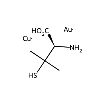 CC(C)(S)[C@H](N)C(=O)O.[Au].[Cu]